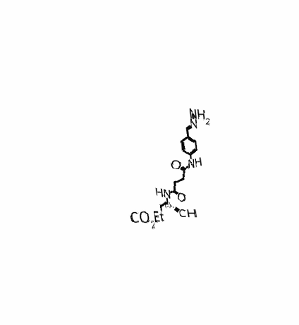 C#C[C@H](CC(=O)OCC)NC(=O)CCC(=O)Nc1ccc(C=NN)cc1